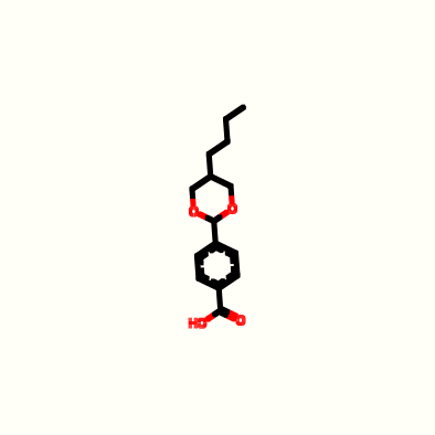 CCCCC1COC(c2ccc(C(=O)O)cc2)OC1